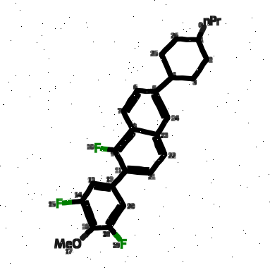 CCCC1CCC(c2ccc3c(F)c(-c4cc(F)c(OC)c(F)c4)ccc3c2)CC1